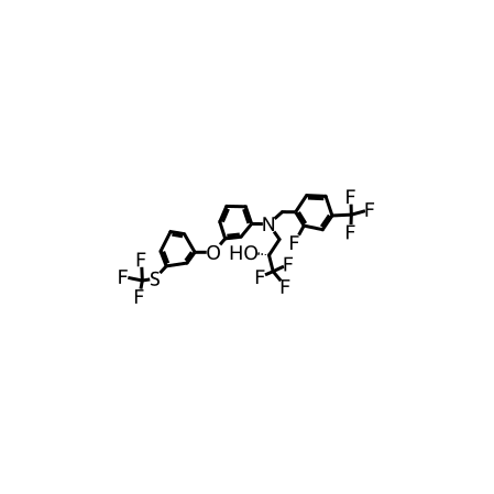 O[C@H](CN(Cc1ccc(C(F)(F)F)cc1F)c1cccc(Oc2cccc(SC(F)(F)F)c2)c1)C(F)(F)F